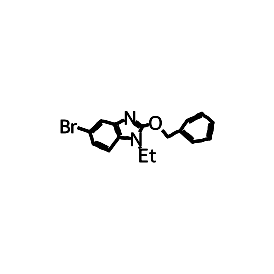 CCn1c(OCc2ccccc2)nc2cc(Br)ccc21